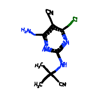 CC(C)(C#N)Nc1nc(N)c(C#N)c(Cl)n1